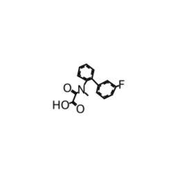 CN(C(=O)C(=O)O)c1ccccc1-c1cccc(F)c1